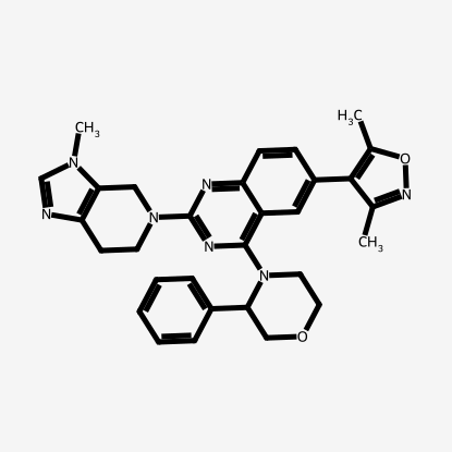 Cc1noc(C)c1-c1ccc2nc(N3CCc4ncn(C)c4C3)nc(N3CCOCC3c3ccccc3)c2c1